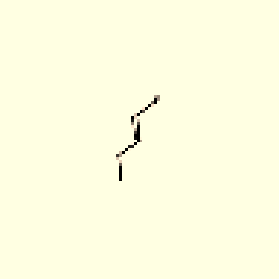 [CH2]CC=CF